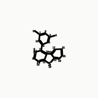 Cc1cc(C)cc(-c2ncnc3sc4ccccc4c23)c1